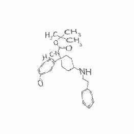 CN(C(=O)OC(C)(C)C)C1(c2cccc(Cl)c2)CCC(NCCc2ccccc2)CC1